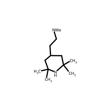 CNCCC1CC(C)(C)NC(C)(C)C1